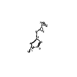 Cn1ccc(COC(C)(C)C)c1